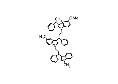 COc1ccc2c(c1)C1C(C)C3C=CC=CC3C1N2CCC1C2C=CC=CC2C2C1c1cc(C)ccc1N2CCC1C2C=CC=CC2C2C1c1ccccc1N2C